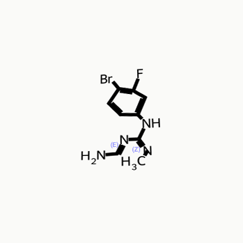 C/N=C(\N=C\N)Nc1ccc(Br)c(F)c1